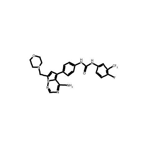 Nc1ncnn2c(CN3CCOCC3)cc(-c3ccc(NC(=O)Nc4ccc(F)c(C(F)(F)F)c4)cc3)c12